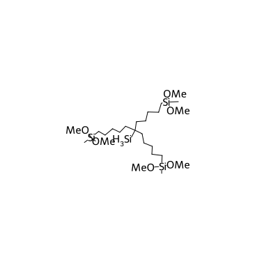 CO[Si](C)(CCCCCC([SiH3])(CCCCC[Si](C)(OC)OC)CCCCC[Si](C)(OC)OC)OC